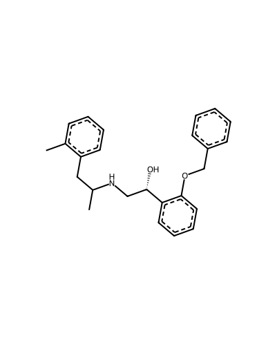 Cc1ccccc1CC(C)NC[C@H](O)c1ccccc1OCc1ccccc1